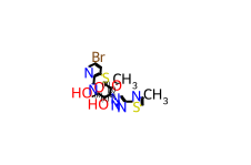 CO[C@@H]1[C@@H](n2cc(-c3nc(C)cs3)nn2)[C@@H](O)[C@@H](CO)O[C@@H]1Sc1cc(Br)cnc1C#N